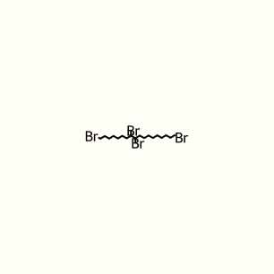 BrCCCCCCCCCC(Br)C(Br)CCCCCCCBr